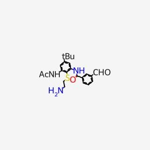 CC(=O)Nc1cc(C(C)(C)C)cc(NC(=O)c2cccc(C=O)c2)c1SCCN